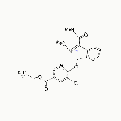 CNC(=O)/C(=N\OC)c1ccccc1COc1ncc(C(=O)OCC(F)(F)F)cc1Cl